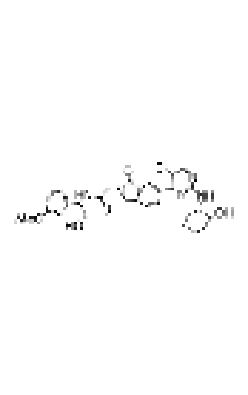 COc1cccc(C(CO)NC(=O)CN2Cc3ccc(-c4nc(N[C@H]5CCCC[C@@H]5O)ncc4Cl)cc3C2=O)c1